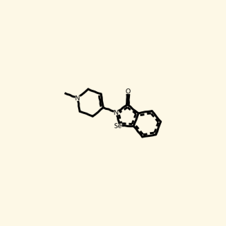 CN1CC=C(n2[se]c3ccccc3c2=O)CC1